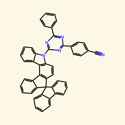 N#Cc1ccc(-c2nc(-c3ccccc3)nc(-n3c4ccccc4c4c5c(ccc43)C3(c4ccccc4-c4ccccc43)c3ccccc3-5)n2)cc1